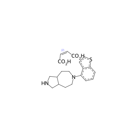 O=C(O)/C=C\C(=O)O.c1cc(N2CCC3CNCC3CC2)c2ccsc2c1